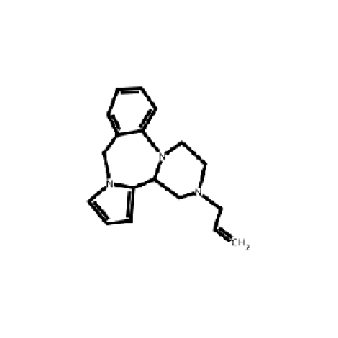 C=CCN1CCN2c3ccccc3Cn3cccc3C2C1